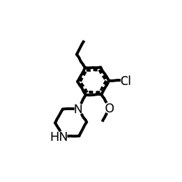 CCc1cc(Cl)c(OC)c(N2CCNCC2)c1